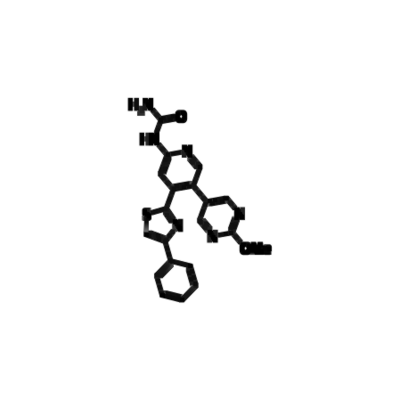 COc1ncc(-c2cnc(NC(N)=O)cc2-c2nc(-c3ccccc3)cs2)cn1